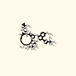 CC[C@@H]1C[C@H](C)CC/C=C\[C@@H]2C[C@@]2(C(=O)NS(=O)(=O)C2(C)CC2)NC(=O)[C@@H]2C[C@@H](Oc3ncc(-c4nc(C(C)(C)C)cs4)c4cc(OC)ccc34)CN2C(=O)[C@H]1N(C(=O)O)C(C)(C)C